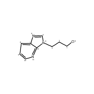 ClCCCn1cnc2cccnc21